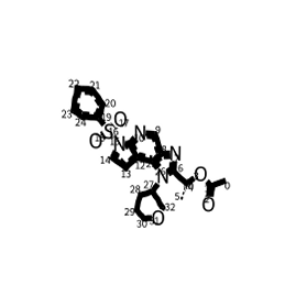 CC(=O)O[C@H](C)c1nc2cnc3c(ccn3S(=O)(=O)c3ccccc3)c2n1C1CCCOC1